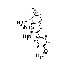 C=NOC(N)C(CC1=CC=C(F)CC1)c1ccc(OC)cc1